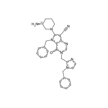 N#Cc1c(N2CCC[C@H](N)C2)n(Cc2ccccc2)c2c(=O)n(Cc3nccn3Cc3ccccc3)cnc12